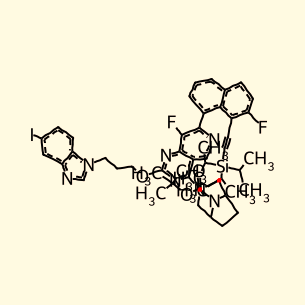 CC(C)[Si](C#Cc1c(F)ccc2cccc(-c3ncc4c(N5CC6CCC(C5)N6C(=O)OC(C)(C)C)nc(OCCCn5cnc6cc(I)ccc65)nc4c3F)c12)(C(C)C)C(C)C